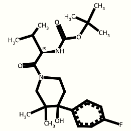 CC(C)[C@@H](NC(=O)OC(C)(C)C)C(=O)N1CCC(O)(c2ccc(F)cc2)C(C)(C)C1